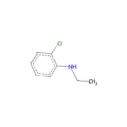 CCNc1ccc[c]c1Cl